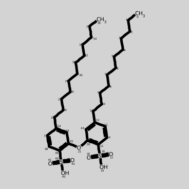 CCCCCCCCCCCCc1ccc(S(=O)(=O)O)c(Oc2cc(CCCCCCCCCCCC)ccc2S(=O)(=O)O)c1